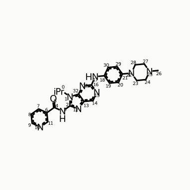 CC(C)n1c(NC(=O)c2cccnc2)nc2cnc(Nc3ccc(N4CCN(C)CC4)cc3)nc21